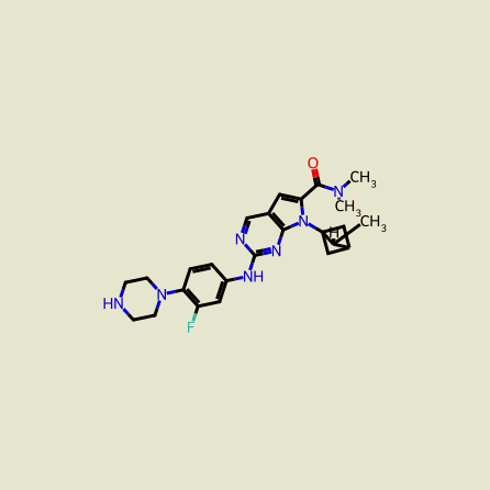 C[C@@H]1C2CC1(n1c(C(=O)N(C)C)cc3cnc(Nc4ccc(N5CCNCC5)c(F)c4)nc31)C2